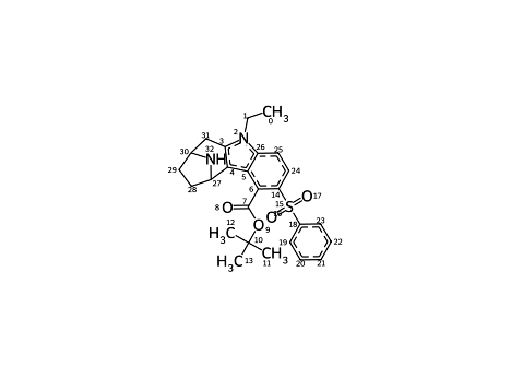 CCn1c2c(c3c(C(=O)OC(C)(C)C)c(S(=O)(=O)c4ccccc4)ccc31)C1CCC(C2)N1